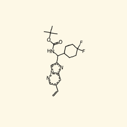 C=Cc1cnn2cc(C(NC(=O)OC(C)(C)C)C3CCC(F)(F)CC3)nc2c1